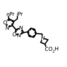 CCCc1onc(-c2nc(-c3ccc(CN4CC(C(=O)O)C4)cc3)no2)c1CC(C)C